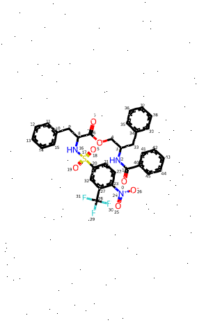 O=C(NC(COC(=O)C(Cc1ccccc1)NS(=O)(=O)c1ccc([N+](=O)[O-])c(C(F)(F)F)c1)Cc1ccccc1)c1ccccc1